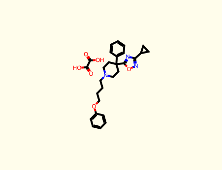 O=C(O)C(=O)O.c1ccc(OCCCCN2CCC(c3ccccc3)(c3nc(C4CC4)no3)CC2)cc1